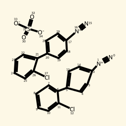 N#[N+]c1ccc(-c2ccccc2Cl)cc1.N#[N+]c1ccc(-c2ccccc2Cl)cc1.O=S(=O)([O-])[O-]